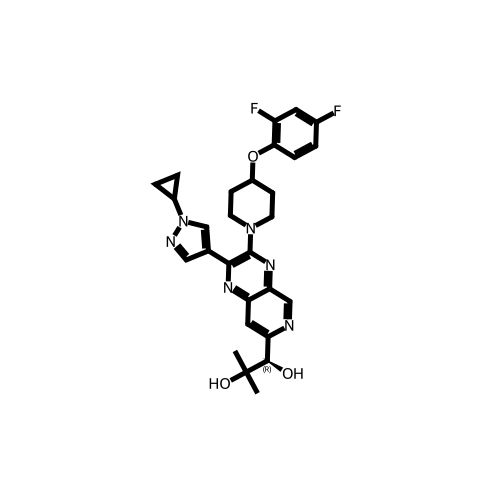 CC(C)(O)[C@H](O)c1cc2nc(-c3cnn(C4CC4)c3)c(N3CCC(Oc4ccc(F)cc4F)CC3)nc2cn1